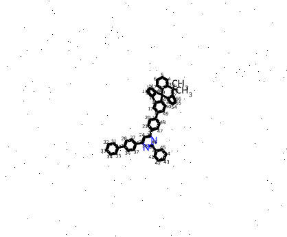 CC1(C)c2ccccc2C2(c3ccccc3-c3cc(-c4ccc(-c5cc(-c6ccc(-c7ccccc7)cc6)nc(-c6ccccc6)n5)cc4)ccc32)c2ccccc21